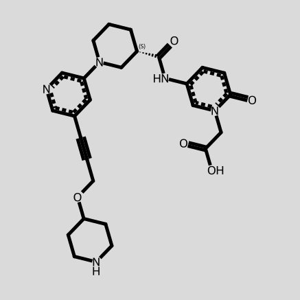 O=C(O)Cn1cc(NC(=O)[C@H]2CCCN(c3cncc(C#CCOC4CCNCC4)c3)C2)ccc1=O